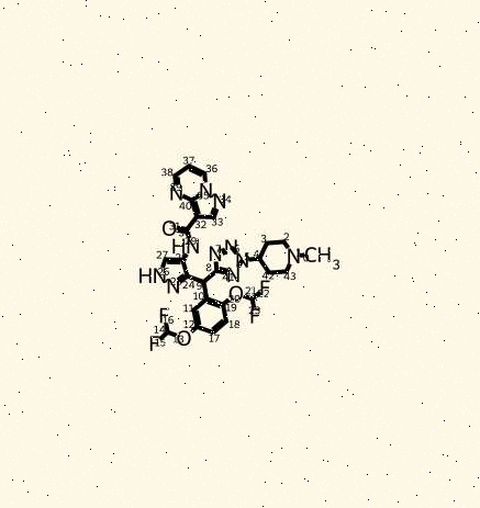 CN1CCC(n2nnc(C(c3cc(OC(F)F)ccc3OC(F)F)c3n[nH]cc3NC(=O)c3cnn4cccnc34)n2)CC1